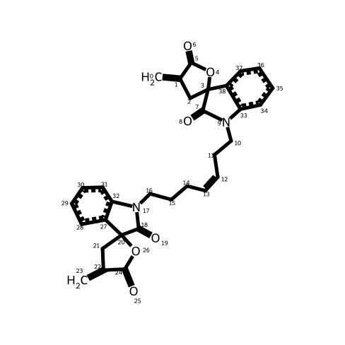 C=C1CC2(OC1=O)C(=O)N(CC/C=C\CCCN1C(=O)C3(CC(=C)C(=O)O3)c3ccccc31)c1ccccc12